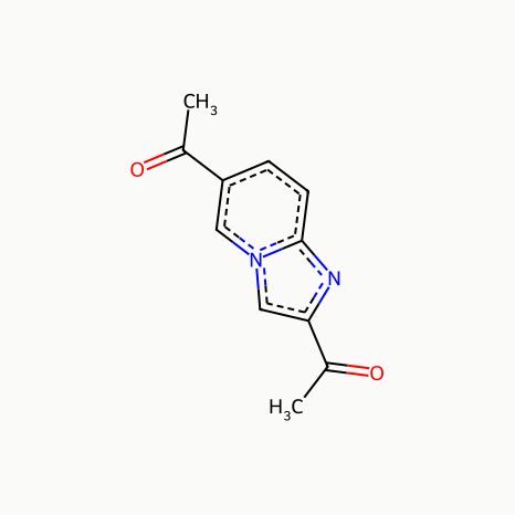 CC(=O)c1ccc2nc(C(C)=O)cn2c1